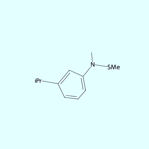 CSN(C)c1cccc(C(C)C)c1